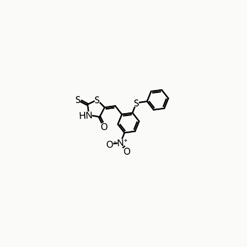 O=C1NC(=S)SC1=Cc1cc([N+](=O)[O-])ccc1Sc1ccccc1